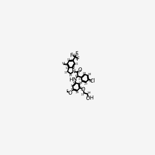 COc1cc(NC(C(=O)N2CCc3c(C)cc(C(F)(F)F)cc32)c2ccc(Cl)cc2)cc(OCCO)c1